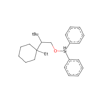 CCC1(C(CO[SiH](c2ccccc2)c2ccccc2)C(C)(C)C)CCCCC1